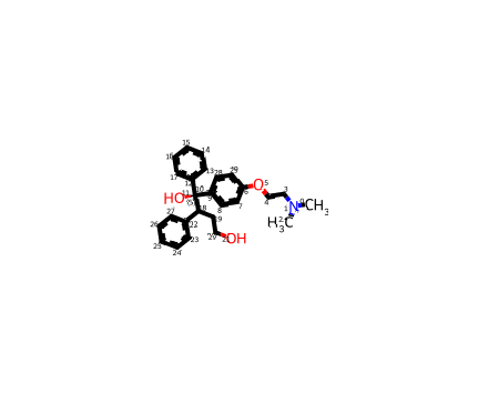 CN(C)CCOc1ccc([C@@](O)(c2ccccc2)C(CCO)c2ccccc2)cc1